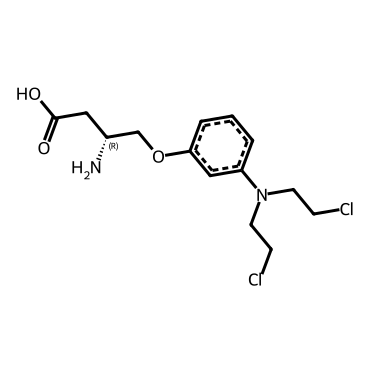 N[C@@H](COc1cccc(N(CCCl)CCCl)c1)CC(=O)O